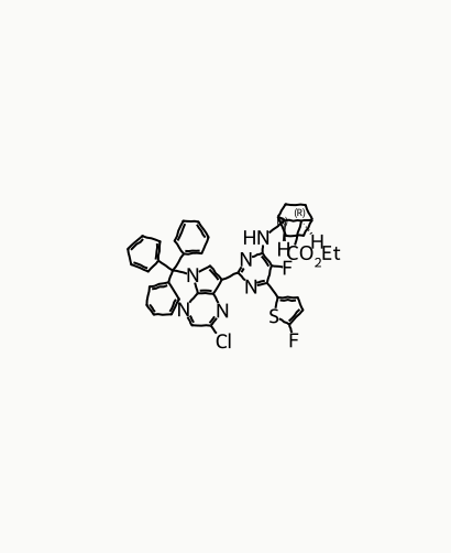 CCOC(=O)[C@@H]1C2CCC(CC2)[C@H]1Nc1nc(-c2cn(C(c3ccccc3)(c3ccccc3)c3ccccc3)c3ncc(Cl)nc23)nc(-c2ccc(F)s2)c1F